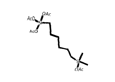 CC(=O)O[Si](C)(C)CCCCCC[Si](OC(C)=O)(OC(C)=O)OC(C)=O